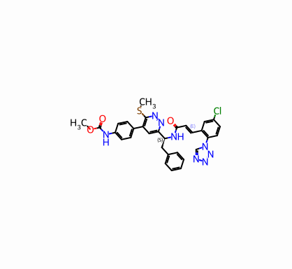 COC(=O)Nc1ccc(-c2cc([C@H](Cc3ccccc3)NC(=O)/C=C/c3cc(Cl)ccc3-n3cnnn3)nnc2SC)cc1